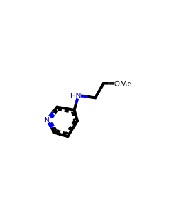 COCCNc1c[c]cnc1